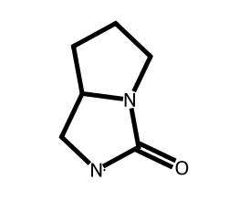 O=C1[N]CC2CCCN12